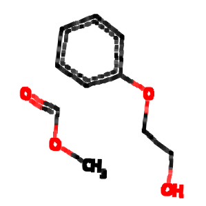 COC=O.OCCOc1ccccc1